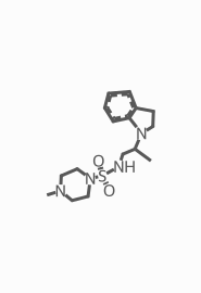 CC(CNS(=O)(=O)N1CCN(C)CC1)N1CCc2ccccc21